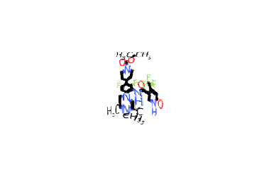 CC(C)OC(=O)N1CC=C(c2c(F)cc(N3C[C@@H](C)N(C)[C@@H](C)C3)c(NC(=O)c3c[nH]c(=O)cc3C(F)(F)F)c2F)CC1